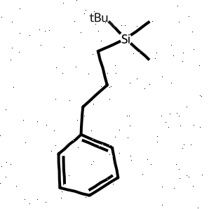 CC(C)(C)[Si](C)(C)CCCc1ccccc1